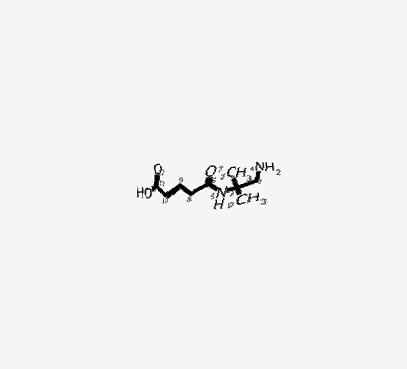 CC(C)(CN)NC(=O)CC=CC(=O)O